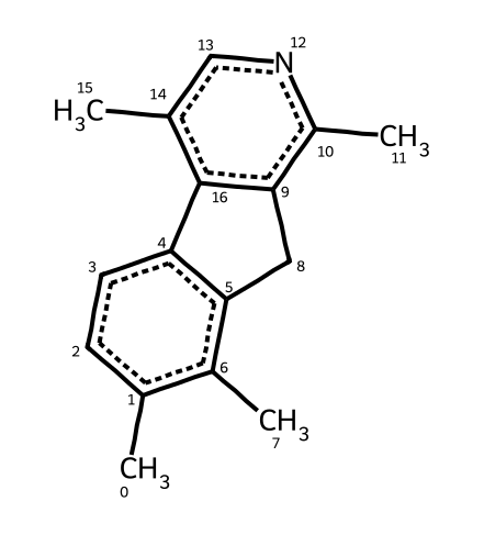 Cc1ccc2c(c1C)Cc1c(C)ncc(C)c1-2